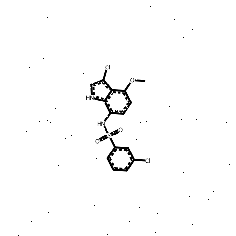 COc1ccc(NS(=O)(=O)c2cccc(Cl)c2)c2[nH]cc(Cl)c12